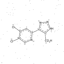 O=C(O)c1[nH]nnc1-c1cc(Cl)c(Cl)cn1